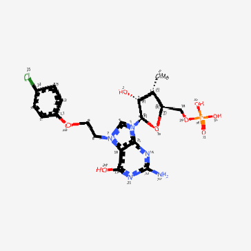 CO[C@H]1[C@@H](O)[C@H](n2c[n+](CCOc3ccc(Cl)cc3)c3c(O)nc(N)nc32)O[C@@H]1COP(=O)(O)O